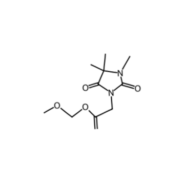 C=C(CN1C(=O)N(C)C(C)(C)C1=O)OCOC